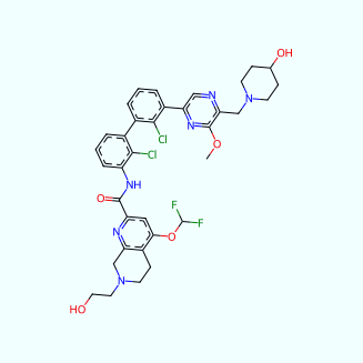 COc1nc(-c2cccc(-c3cccc(NC(=O)c4cc(OC(F)F)c5c(n4)CN(CCO)CC5)c3Cl)c2Cl)cnc1CN1CCC(O)CC1